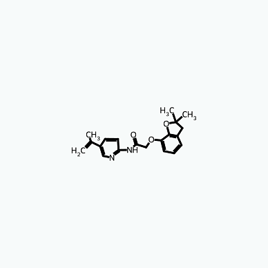 C=C(C)c1ccc(NC(=O)COc2cccc3c2OC(C)(C)C3)nc1